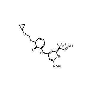 CNC1=CC(Nc2cccn(CCOC3CC3)c2=O)=N/C(=C(/C=N)C(=O)O)N1